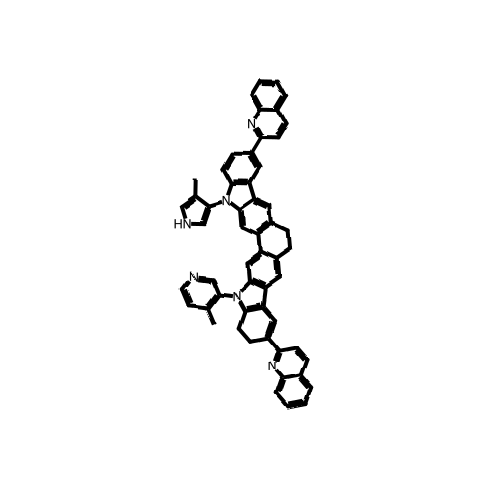 Cc1ccncc1-n1c2c(c3cc4c(cc31)-c1cc3c(cc1CC4)c1cc(-c4ccc5ccccc5n4)ccc1n3-c1c[nH]cc1C)C=C(c1ccc3ccccc3n1)CC2